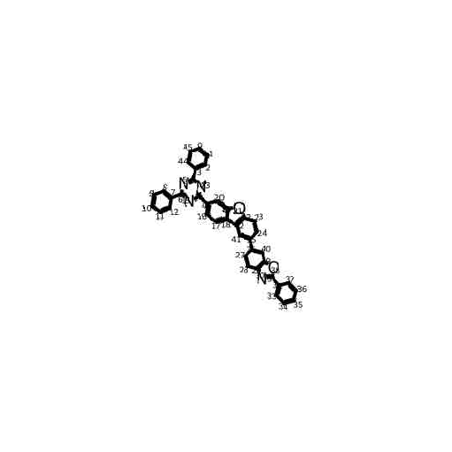 c1ccc(-c2nc(-c3ccccc3)nc(-c3ccc4c(c3)oc3ccc(-c5ccc6nc(-c7ccccc7)oc6c5)cc34)n2)cc1